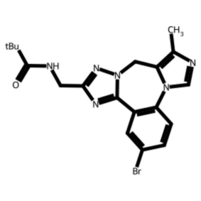 Cc1ncn2c1Cn1nc(CNC(=O)C(C)(C)C)nc1-c1cc(Br)ccc1-2